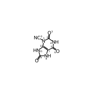 N#Cn1c(=O)[nH]c(=O)c2[nH]c(=O)[nH]c21